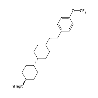 CCCCCCC[C@H]1CC[C@H](C2CCC(CCc3ccc(OC(F)(F)F)cc3)CC2)CC1